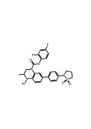 CC(=O)N1c2ccc(-c3ccc(N4CCCS4(=O)=O)cc3)cc2N(C(=O)Oc2ccc(F)cc2F)CC1C